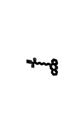 O=C(CCCCCCN1C=C2CC=CC=C2Oc2ccccc21)NO